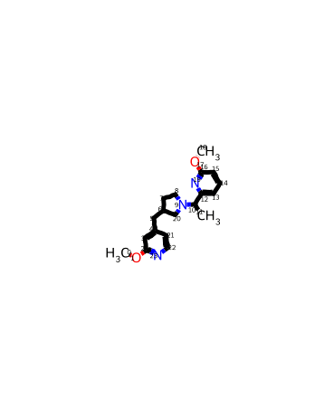 COc1cc(CC2CCN(C(C)c3cccc(OC)n3)C2)ccn1